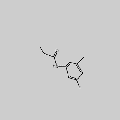 CCC(=O)Nc1cc(C)cc(F)c1